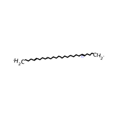 [CH2]CCC/C=C/CCCCCCCCCCCCCCCCCCCC[CH2]